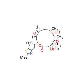 CSc1nc(/C=C(\C)[C@@H]2C[C@@H]3O[C@]3(C)CCCC(C)[C@H](O)C(C)C(=O)C(C)(C)C(O)CC(=O)O2)cs1